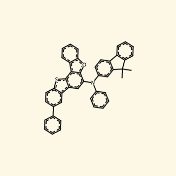 CC1(C)c2ccccc2-c2ccc(N(c3ccccc3)c3cc4c5cc(-c6ccccc6)ccc5sc4c4c3oc3ccccc34)cc21